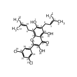 CC(C)=CCc1c(O)c(CC=C(C)C)c2oc(-c3cc(Cl)cc(Cl)c3)c(O)c(=O)c2c1O